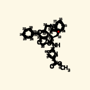 COC(=O)c1csc(NC(=O)[C@H](Cc2ccccc2)[N+]2(C3=C(Cc4ccccc4)OCO3)C(=O)CNC2=O)n1